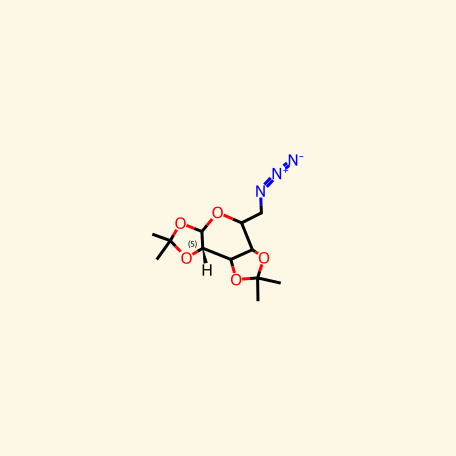 CC1(C)OC2C(CN=[N+]=[N-])OC3OC(C)(C)O[C@H]3C2O1